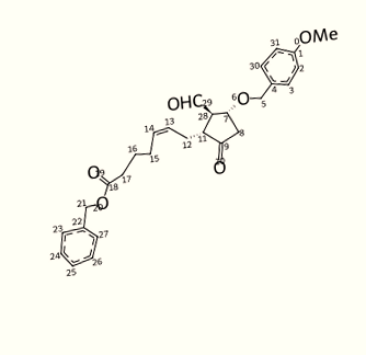 COc1ccc(CO[C@@H]2CC(=O)[C@H](C/C=C\CCCC(=O)OCc3ccccc3)[C@H]2C=O)cc1